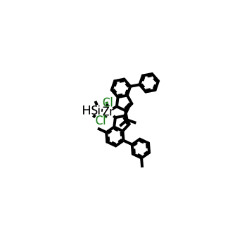 CC1=Cc2c(-c3cccc(C)c3)ccc(C)c2[CH]1[Zr]([Cl])([Cl])([CH]1C(C(C)C)=Cc2c(-c3ccccc3)cccc21)[SiH](C)C